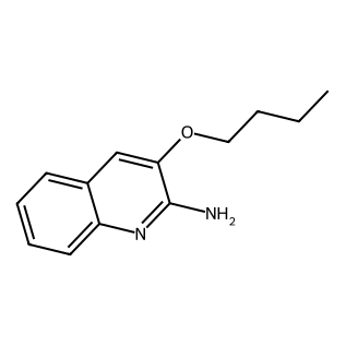 CCCCOc1cc2ccccc2nc1N